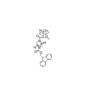 CC(C)(C)OC(=O)N1C[C@@H]2C[C@H]1CN2C(=O)OCC1c2ccccc2-c2ccccc21